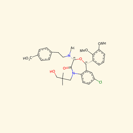 COc1cccc([C@H]2O[C@@H](N(CCc3ccc(C(=O)O)cc3)C(C)=O)C(=O)N(CC(C)(C)CO)c3ccc(Cl)cc32)c1OC